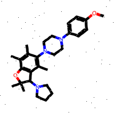 COc1ccc(N2CCN(c3c(C)c(C)c4c(c3C)C(N3CCCC3)C(C)(C)O4)CC2)cc1